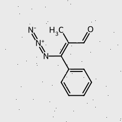 CC(C=O)=C(N=[N+]=[N-])c1ccccc1